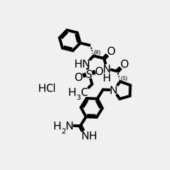 CCS(=O)(=O)N[C@H](Cc1ccccc1)C(=O)NC(=O)[C@@H]1CCCN1Cc1ccc(C(=N)N)cc1.Cl